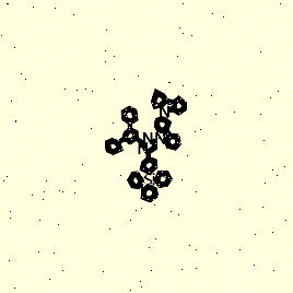 c1ccc(-c2cc(-c3ccccc3)cc(-c3nc(-c4ccc([Si](c5ccccc5)(c5ccccc5)c5ccccc5)cc4)cc(-n4c5ccccc5c5cc(-n6c7ccccc7c7ccccc76)ccc54)n3)c2)cc1